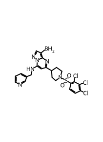 Bc1cnn2c(NCc3cccnc3)cc(C3CCN(S(=O)(=O)c4ccc(Cl)c(Cl)c4Cl)CC3)nc12